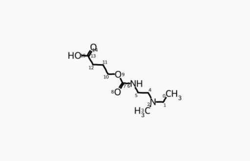 CCN(C)CCNC(=O)OCCCC(=O)O